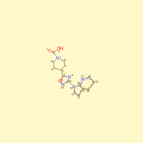 O=C(O)N1CCC(c2nc(-n3ccc4cccnc43)no2)CC1